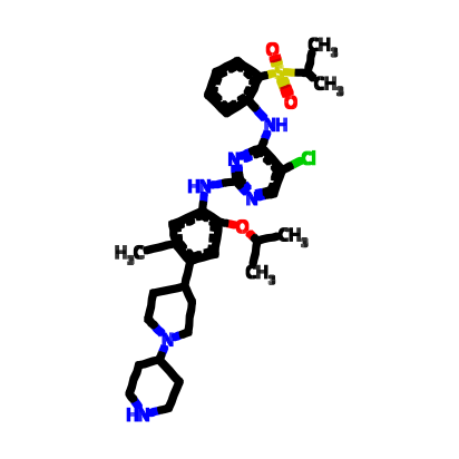 Cc1cc(Nc2ncc(Cl)c(Nc3ccccc3S(=O)(=O)C(C)C)n2)c(OC(C)C)cc1C1CCN(C2CCNCC2)CC1